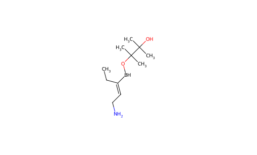 CC/C(BOC(C)(C)C(C)(C)O)=C\CN